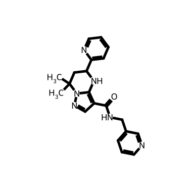 CC1(C)CC(c2ccccn2)Nc2c(C(=O)NCc3cccnc3)cnn21